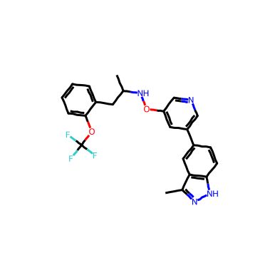 Cc1n[nH]c2ccc(-c3cncc(ONC(C)Cc4ccccc4OC(F)(F)F)c3)cc12